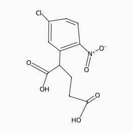 O=C(O)CCC(C(=O)O)c1cc(Cl)ccc1[N+](=O)[O-]